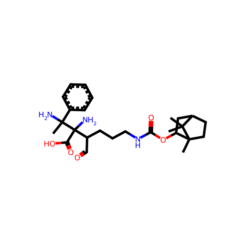 CC(N)(c1ccccc1)C(N)(C(=O)O)C(C=O)CCCNC(=O)OC1CC2CCC1(C)C2(C)C